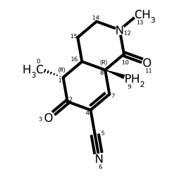 C[C@H]1C(=O)C(C#N)=C[C@@]2(P)C(=O)N(C)CCC12